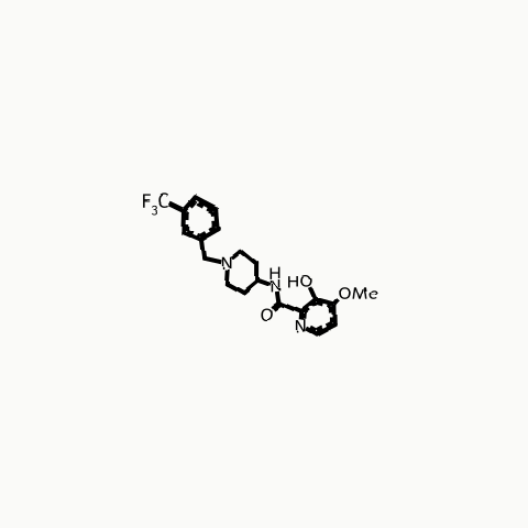 COc1ccnc(C(=O)NC2CCN(Cc3cccc(C(F)(F)F)c3)CC2)c1O